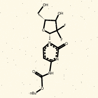 CCCCOC(=O)Nc1ccn([C@@H]2O[C@H](CO)C(O)C2(F)F)c(=O)n1